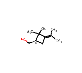 CC(C)=C1C[C@@H](CO)C1(C)C